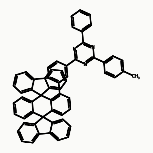 Cc1ccc(-c2nc(-c3ccccc3)nc(-c3cccc(-c4cccc5c4C4(c6ccccc6-c6ccccc64)c4ccccc4C54c5ccccc5-c5ccccc54)c3)n2)cc1